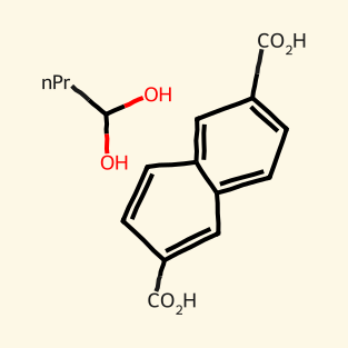 CCCC(O)O.O=C(O)c1ccc2cc(C(=O)O)ccc2c1